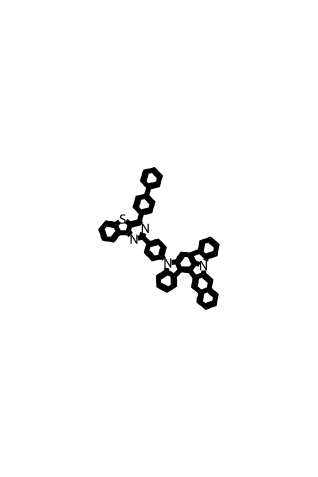 c1ccc(-c2ccc(-c3nc(-c4ccc(-n5c6ccccc6c6c7c8cc9ccccc9cc8n8c9ccccc9c(cc65)c78)cc4)nc4c3sc3ccccc34)cc2)cc1